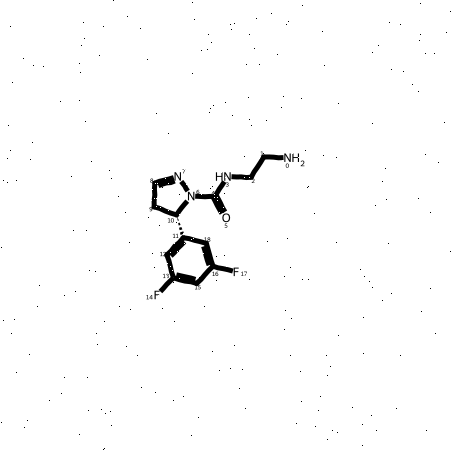 NCCNC(=O)N1N=CC[C@H]1c1cc(F)cc(F)c1